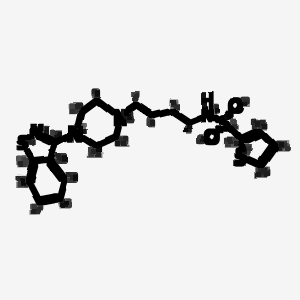 O=S(=O)(NCCCCN1CCN(c2nsc3ccccc23)CC1)c1cccs1